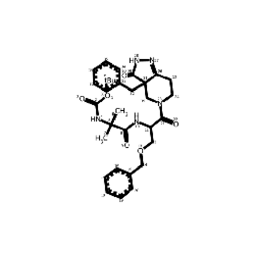 CC(C)(C)OC(=O)NC(C)(C)C(=O)NC(COCc1ccccc1)C(=O)N1CCC2=NNC(=O)C2(Cc2ccccc2)C1